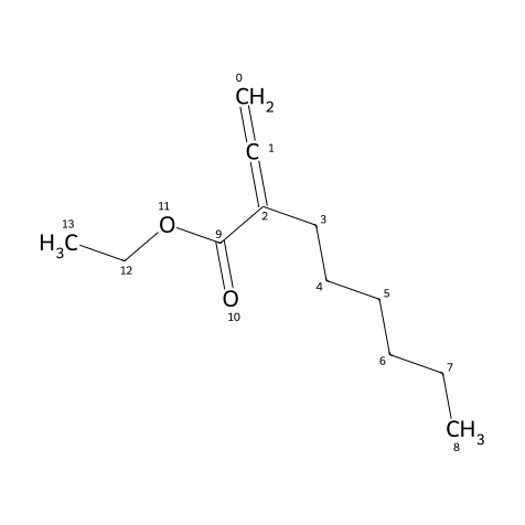 C=C=C(CCCCCC)C(=O)OCC